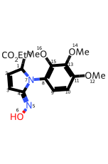 CCOC(=O)C1C=CC(=NO)N1c1ccc(OC)c(OC)c1OC